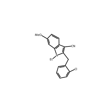 CCn1c(Cc2ccccc2Cl)c(C#N)c2ccc(OC)cc21